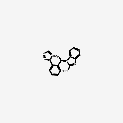 CCCCCc1nc2ccccc2n1C(C(=O)O)c1ccccc1-n1ncnn1